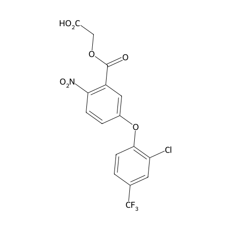 O=C(O)COC(=O)c1cc(Oc2ccc(C(F)(F)F)cc2Cl)ccc1[N+](=O)[O-]